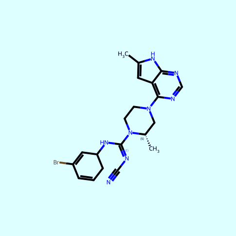 Cc1cc2c(N3CCN(/C(=N/C#N)NC4C=C(Br)C=CC4)[C@@H](C)C3)ncnc2[nH]1